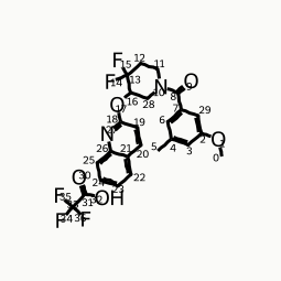 COc1cc(C)cc(C(=O)N2CCC(F)(F)C(Oc3ccc4ccccc4n3)C2)c1.O=C(O)C(F)(F)F